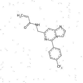 C=CC(=O)NCc1cc2nccn2c(-c2ccc(C(F)(F)F)cc2)n1